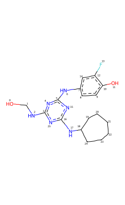 OCNc1nc(Nc2ccc(O)c(F)c2)nc(NC2CCCCCC2)n1